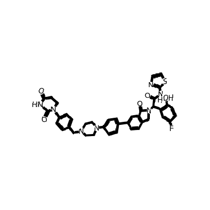 O=C1CCN(c2ccc(CN3CCN(c4ccc(-c5ccc6c(c5)C(=O)N(C(C(=O)Nc5nccs5)c5cc(F)ccc5O)C6)cc4)CC3)cc2)C(=O)N1